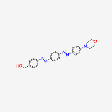 OCc1ccc(N=Nc2ccc(N=Nc3ccc(N4CCOCC4)cc3)cc2)cc1